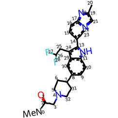 CNC(=O)CN1CCC(c2ccc3[nH]c(-c4ccc5nc(C)cn5c4)c(CC(F)F)c3c2)CC1